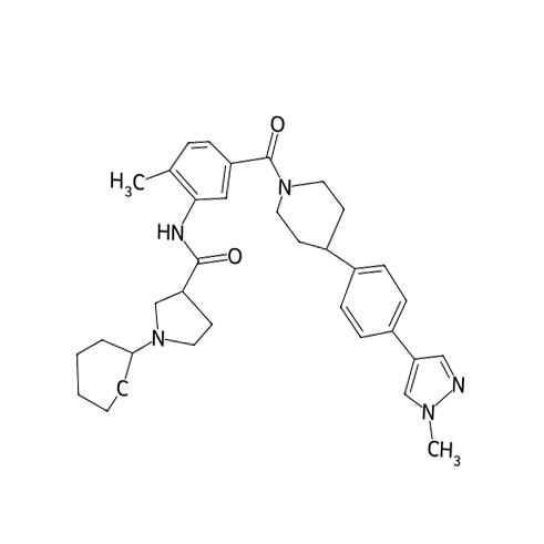 Cc1ccc(C(=O)N2CCC(c3ccc(-c4cnn(C)c4)cc3)CC2)cc1NC(=O)C1CCN(C2CCCCC2)C1